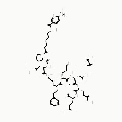 CC(C)C[C@H](NC(=O)[C@H](CCCN)NC(=O)[C@H](CCc1ccccc1)NC(=O)CNC(=O)[C@H](CC(C)C)NC(=O)[C@@H]1CCCN1C(=O)CCCCCNC(=O)c1ccc(NN)nc1)C(=O)N[C@@H](CCC(=O)O)C(=O)N[C@@H](CCC(=O)O)C(=O)O.O=C(O)C(F)(F)F